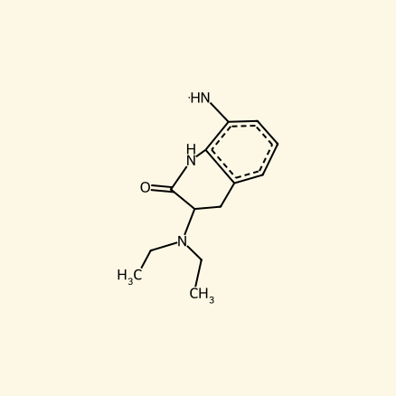 CCN(CC)C1Cc2cccc([NH])c2NC1=O